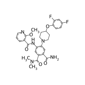 COc1ncccc1C(=O)Nc1cc(C(=O)N(C)C)c(C(N)=O)cc1N1CCC(Oc2ccc(F)cc2F)CC1